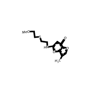 COCCSCCNc1cc(=O)c2occ(C)c2o1